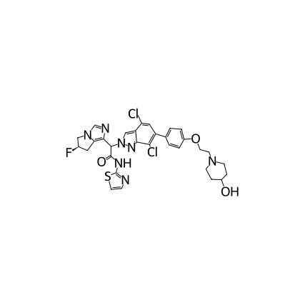 O=C(Nc1nccs1)C(c1ncn2c1C[C@@H](F)C2)n1cc2c(Cl)cc(-c3ccc(OCCN4CCC(O)CC4)cc3)c(Cl)c2n1